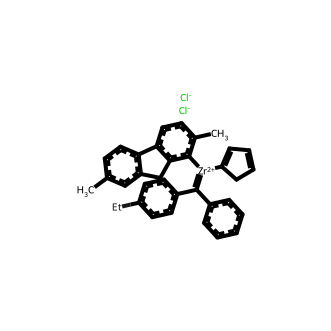 CCc1ccc(/[C](c2ccccc2)=[Zr+2](/[C]2=CC=CC2)[c]2c(C)ccc3c2Cc2cc(C)ccc2-3)cc1.[Cl-].[Cl-]